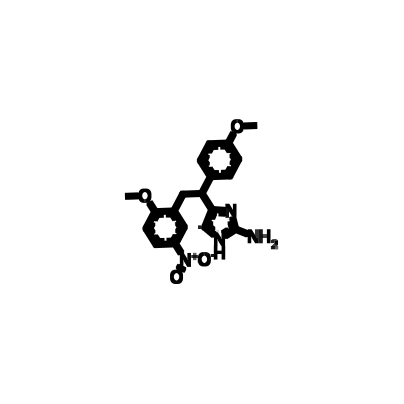 COc1ccc(C(Cc2cc([N+](=O)[O-])ccc2OC)c2[c][nH]c(N)n2)cc1